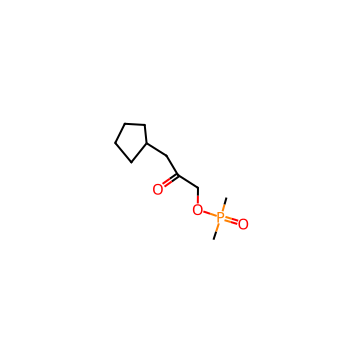 CP(C)(=O)OCC(=O)CC1CCCC1